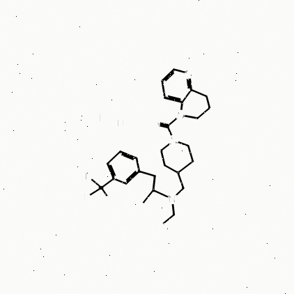 CCN(CC1CCN(C(=O)N2CCCc3ncccc32)CC1)C(C)Cc1cccc(C(F)(F)F)c1.Cl.Cl